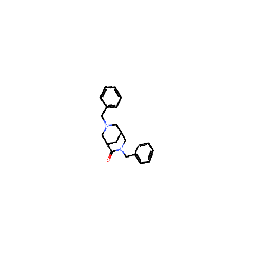 O=C1C2CC(CN(Cc3ccccc3)C2)CN1Cc1ccccc1